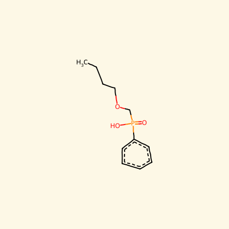 CCCCOCP(=O)(O)c1ccccc1